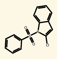 O=S(=O)(c1ccccc1)n1c(Cl)cc2ccccc21